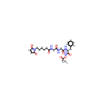 CC(=O)ONC(=O)[C@H](Cc1ccccc1)NC(=O)CNC(=O)CNC(=O)CCCCCN1C(=O)C=CC1=O